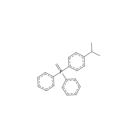 C=P(c1ccccc1)(c1ccccc1)c1ccc(C(C)C)cc1